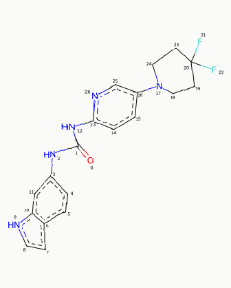 O=C(Nc1ccc2cc[nH]c2c1)Nc1ccc(N2CCC(F)(F)CC2)cn1